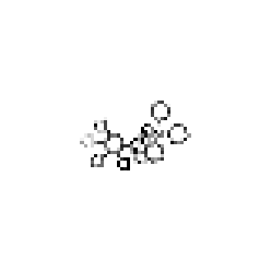 Clc1cc([N](Cl)[Zn][O][Si](c2ccccc2)(c2ccccc2)c2ccccc2)c(Cl)c(Cl)c1Cl